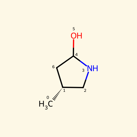 C[C@H]1CNC(O)C1